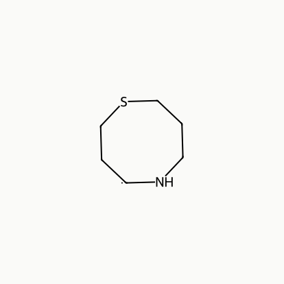 [CH]1CCSCCCN1